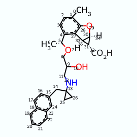 Cc1ccc([C@@H](C)OCC(O)CNC2(Cc3ccc4ccccc4c3)CC2)c2c1O[C@H]1[C@H](C(=O)O)[C@@H]21